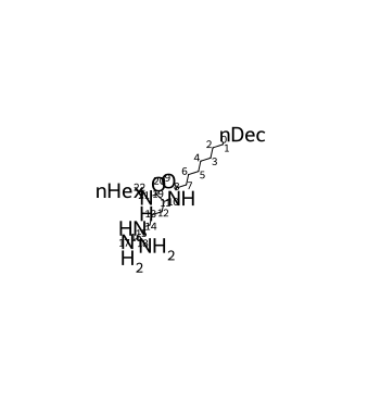 CCCCCCCCCCCCCCCCCC(=O)NC(CCCNC(N)N)C(=O)NCCCCCC